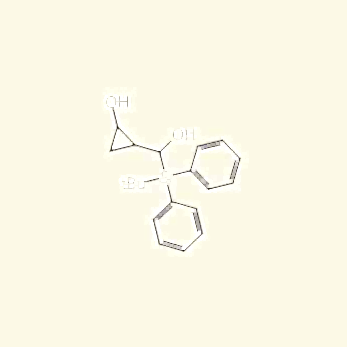 CC(C)(C)[Si](c1ccccc1)(c1ccccc1)C(O)C1CC1O